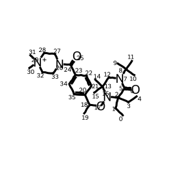 CCC1(CC)C(=O)N(C(C)(C)C)CC(C)(C)N1OC(C)c1ccc(C(=O)N2CC[N+](C)(C)CC2)cc1